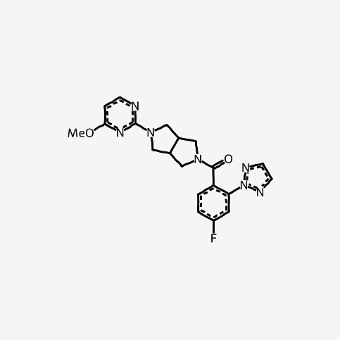 COc1ccnc(N2CC3CN(C(=O)c4ccc(F)cc4-n4nccn4)CC3C2)n1